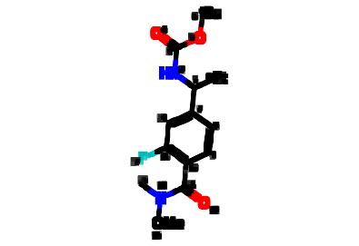 CCC(NC(=O)OC(C)(C)C)c1ccc(C(=O)N(C)OC)c(F)c1